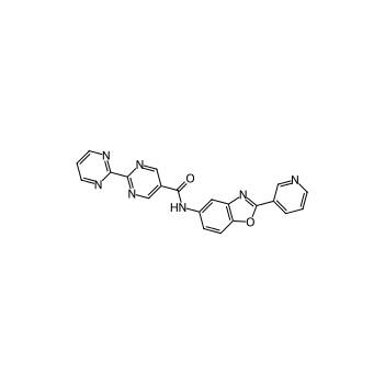 O=C(Nc1ccc2oc(-c3cccnc3)nc2c1)c1cnc(-c2ncccn2)nc1